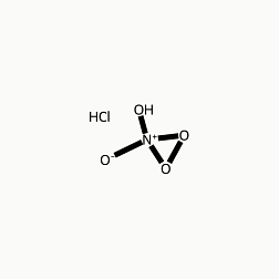 Cl.[O-][N+]1(O)OO1